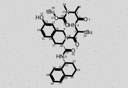 CC(C(=O)NC(C(=O)N1Cc2cc(O)ccc2C[C@H]1C(=O)N[C@@H]1CCCc2ccccc21)C(C)(C)C)N(C)C(=O)OC(C)(C)C